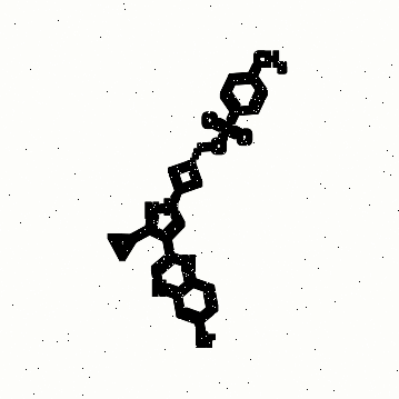 Cc1ccc(S(=O)(=O)OC[C@H]2C[C@H](n3cc(-c4cnc5cc(Br)ccc5n4)c(C4CC4)n3)C2)cc1